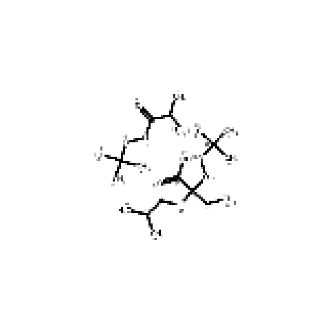 CC(C)C(=O)OOC(C)(C)C.CCC(OCC(C)C)(OOC(C)(C)C)C(=O)O